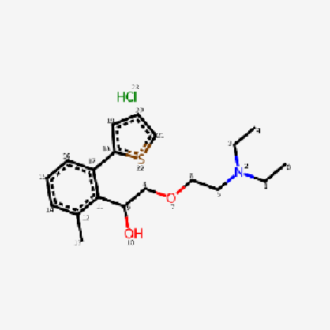 CCN(CC)CCOCC(O)c1c(C)cccc1-c1cccs1.Cl